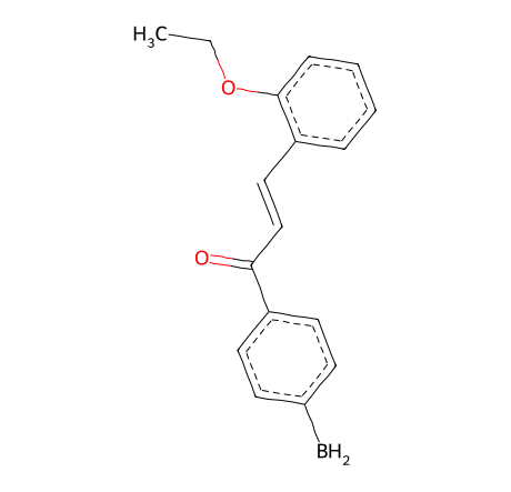 Bc1ccc(C(=O)/C=C/c2ccccc2OCC)cc1